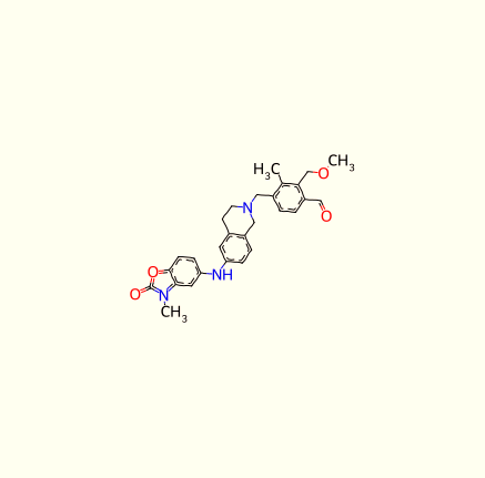 COCc1c(C=O)ccc(CN2CCc3cc(Nc4ccc5oc(=O)n(C)c5c4)ccc3C2)c1C